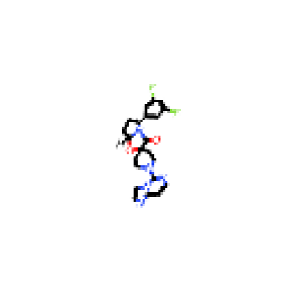 O=C1N2[C@@H](CC[C@H]2c2cc(F)cc(F)c2)OC12CCN(c1nccc3nccn13)CC2